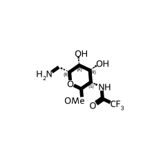 COC1O[C@H](CN)[C@H](O)[C@H](O)[C@@H]1NC(=O)C(F)(F)F